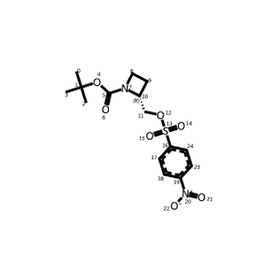 CC(C)(C)OC(=O)N1CC[C@@H]1COS(=O)(=O)c1ccc([N+](=O)[O-])cc1